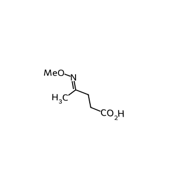 CO/N=C(\C)CCC(=O)O